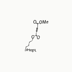 CCCCCCCCCCCOC(=O)C#CC(=O)OC